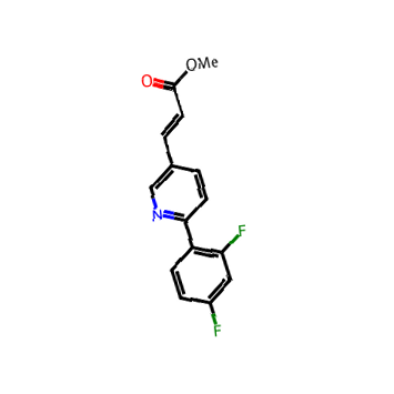 COC(=O)C=Cc1ccc(-c2ccc(F)cc2F)nc1